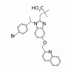 CC(c1ccc(Br)cc1)n1c(CC(C)(C)C(=O)O)nc2cc(OCc3ccc4ccccc4n3)ccc21